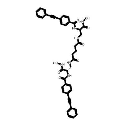 O=C(CCCC(=O)NC[C@H](NC(=O)c1ccc(C#Cc2ccccc2)cc1)C(=O)NO)NCC(NC(=O)c1ccc(C#Cc2ccccc2)cc1)C(=O)NO